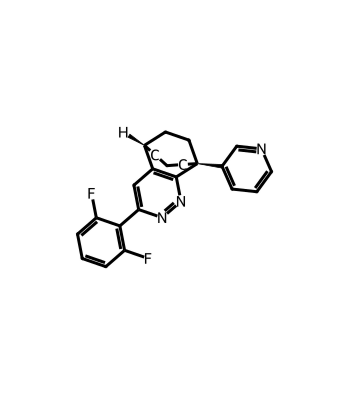 Fc1cccc(F)c1-c1cc2c(nn1)[C@]1(c3cccnc3)CCC[C@H]2CC1